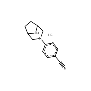 Cl.N#Cc1ccc(N2CC3CCC(C2)N3)nc1